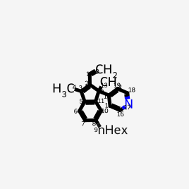 C=CC1=C(C)c2ccc(CCCCCC)cc2C1(C)c1ccncc1